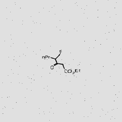 CCCC(F)C(=O)CC(=O)OCC